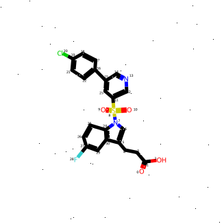 O=C(O)CCc1cn(S(=O)(=O)c2cncc(-c3ccc(Cl)cc3)c2)c2ccc(F)cc12